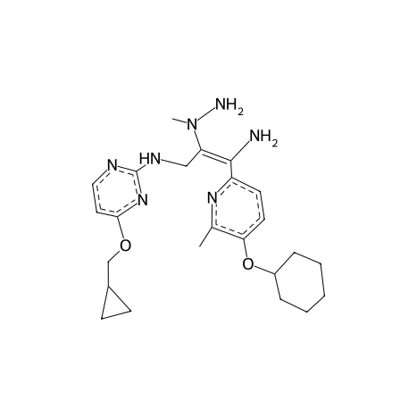 Cc1nc(/C(N)=C(\CNc2nccc(OCC3CC3)n2)N(C)N)ccc1OC1CCCCC1